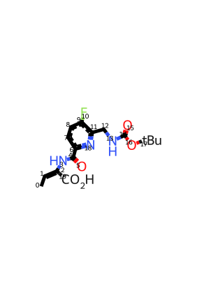 C/C=C(/NC(=O)c1ccc(F)c(CNC(=O)OC(C)(C)C)n1)C(=O)O